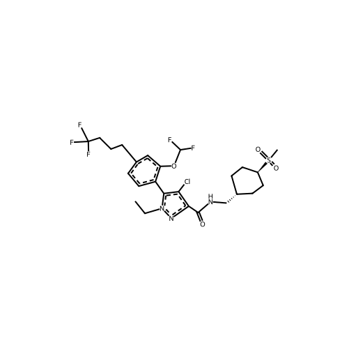 CCn1nc(C(=O)NC[C@H]2CC[C@H](S(C)(=O)=O)CC2)c(Cl)c1-c1ccc(CCCC(F)(F)F)cc1OC(F)F